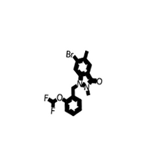 Cc1cc2c(=O)n(C)n(Cc3ccccc3OC(F)F)c2cc1Br